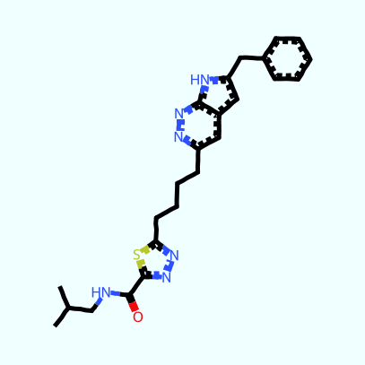 CC(C)CNC(=O)c1nnc(CCCCc2cc3cc(Cc4ccccc4)[nH]c3nn2)s1